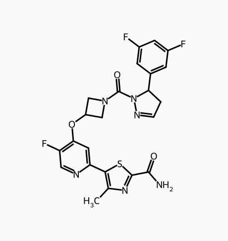 Cc1nc(C(N)=O)sc1-c1cc(OC2CN(C(=O)N3N=CCC3c3cc(F)cc(F)c3)C2)c(F)cn1